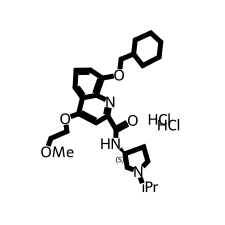 COCCOc1cc(C(=O)N[C@H]2CCN(C(C)C)C2)nc2c(OCC3CCCCC3)cccc12.Cl.Cl